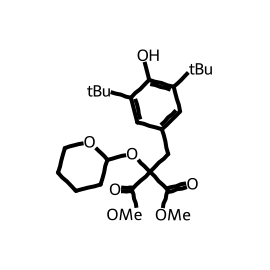 COC(=O)C(Cc1cc(C(C)(C)C)c(O)c(C(C)(C)C)c1)(OC1CCCCO1)C(=O)OC